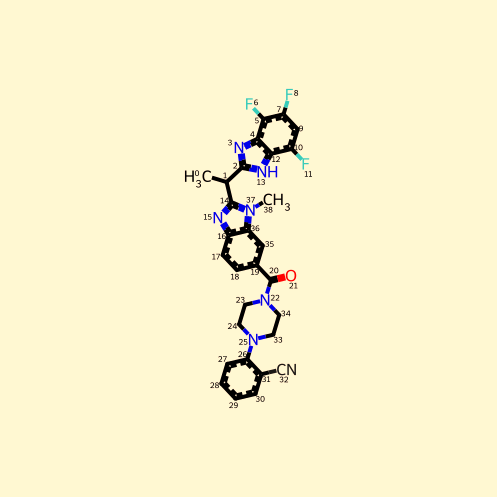 CC(c1nc2c(F)c(F)cc(F)c2[nH]1)c1nc2ccc(C(=O)N3CCN(c4ccccc4C#N)CC3)cc2n1C